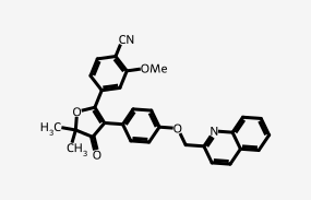 COc1cc(C2=C(c3ccc(OCc4ccc5ccccc5n4)cc3)C(=O)C(C)(C)O2)ccc1C#N